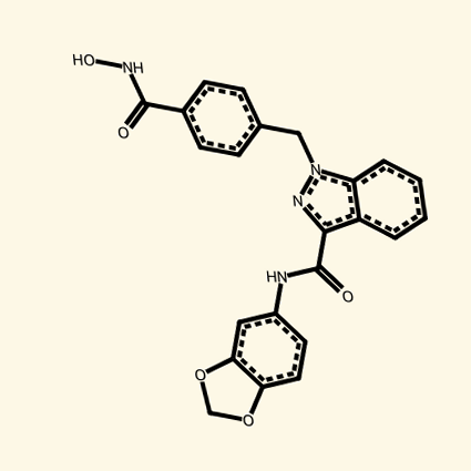 O=C(NO)c1ccc(Cn2nc(C(=O)Nc3ccc4c(c3)OCO4)c3ccccc32)cc1